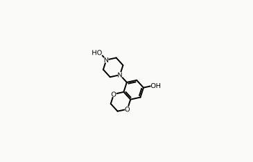 Oc1cc2c(c(N3CCN(O)CC3)c1)OCCO2